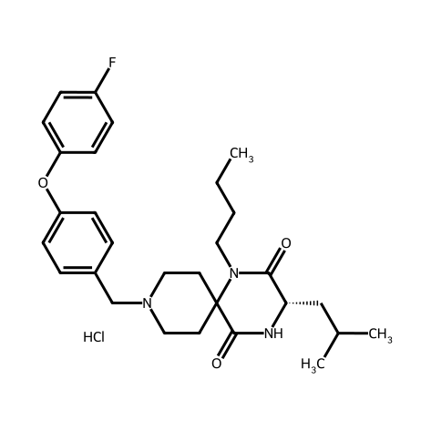 CCCCN1C(=O)[C@H](CC(C)C)NC(=O)C12CCN(Cc1ccc(Oc3ccc(F)cc3)cc1)CC2.Cl